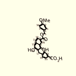 COc1ccc(COC(=O)c2ccc3cc(O)c(Cc4ccc(C(=O)O)cc4)c(O)c3c2)cc1